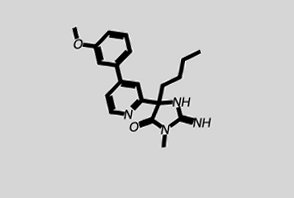 CCCCC1(c2cc(-c3cccc(OC)c3)ccn2)NC(=N)N(C)C1=O